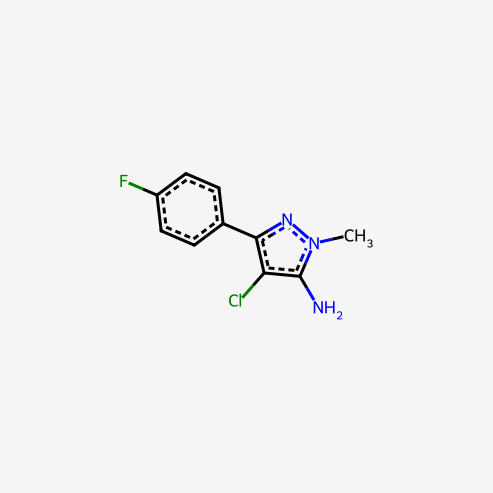 Cn1nc(-c2ccc(F)cc2)c(Cl)c1N